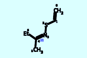 C=CS/N=C(/C)CC